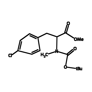 COC(=O)C(Cc1ccc(Cl)cc1)N(C)C(=O)OC(C)(C)C